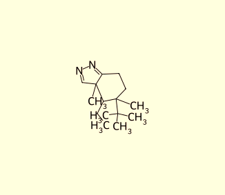 CCC1C2(C)C=NN=C2CCC1(C)C(C)(C)C